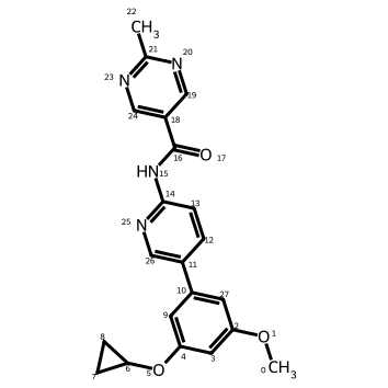 COc1cc(OC2CC2)cc(-c2ccc(NC(=O)c3cnc(C)nc3)nc2)c1